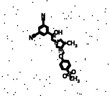 C[C@@H]1CN(C[C@H](O)c2cc(C#N)cc(C#N)c2)C[C@H]1COc1ccc(S(C)(=O)=O)cc1